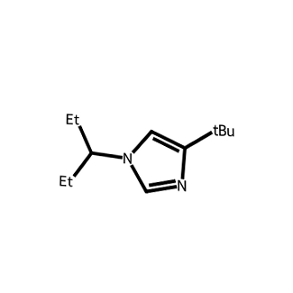 CCC(CC)n1cnc(C(C)(C)C)c1